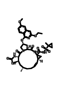 CCOc1cc2cc(OC)ccc2c(O[C@@H]2C[C@H]3C(=O)N[C@]4(C(=O)NS(=O)(=O)C5(C)CC5)C[C@H]4C=CCC[C@H](C)C[C@@H](C)[C@H](NC(=O)O)C(=O)N3C2)n1